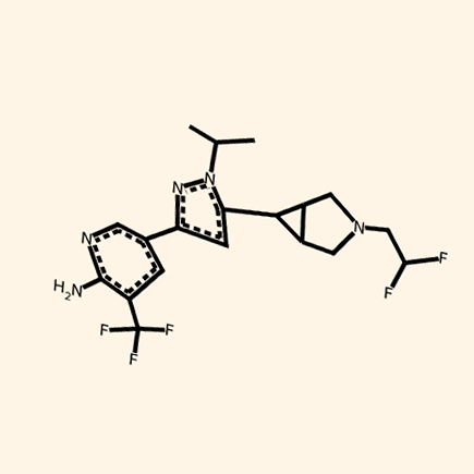 CC(C)n1nc(-c2cnc(N)c(C(F)(F)F)c2)cc1C1C2CN(CC(F)F)CC21